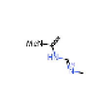 C=C(NC)N/C=N/C